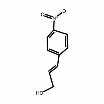 O=[N+]([O-])c1ccc(C=C[CH]O)cc1